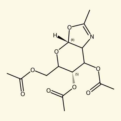 CC(=O)OCC1O[C@@H]2OC(C)=NC2C(OC(C)=O)[C@@H]1OC(C)=O